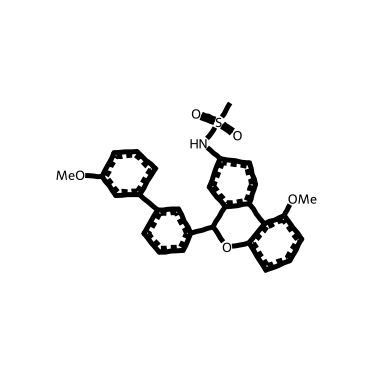 COc1cccc(-c2cccc(C3Oc4cccc(OC)c4-c4ccc(NS(C)(=O)=O)cc43)c2)c1